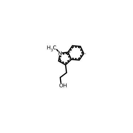 Cn1cc(CCO)c2c[c]ccc21